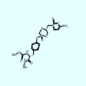 CC(C)(C)NC(=O)[C@@H](Cc1ccc(OP2(=O)CO[C@@H](Cn3ccc(N)nc3=O)CO2)cc1)NC(=O)OC(C)(C)C